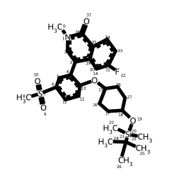 Cn1cc(-c2cc(S(C)(=O)=O)ccc2OC2CCC(O[Si](C)(C)C(C)(C)C)CC2)c2cc(F)ccc2c1=O